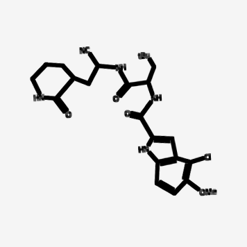 COc1ccc2[nH]c(C(=O)NC(CC(C)(C)C)C(=O)NC(C#N)CC3CCCNC3=O)cc2c1Cl